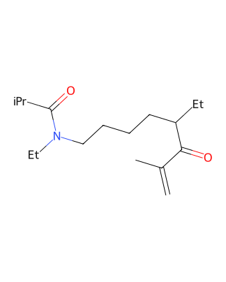 C=C(C)C(=O)C(CC)CCCCN(CC)C(=O)C(C)C